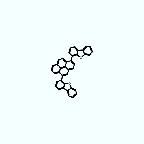 c1ccc2c(c1)oc1c(-c3cc4ccc(-c5cccc6c5oc5ccccc56)c5ccc6cccc3c6c45)cccc12